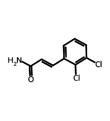 NC(=O)/C=C/c1cccc(Cl)c1Cl